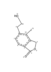 O=C1OCc2c1ccc(CCO)c2I